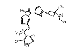 CC(C)CNC1(C)CN(c2ccc(-c3n[nH]c4ccc(O[C@H](C)c5c(Cl)cncc5Cl)cc34)cn2)C1